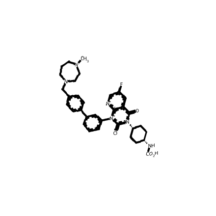 CN1CCCN(Cc2ccc(-c3cccc(-n4c(=O)n([C@H]5CC[C@@H](NC(=O)O)CC5)c(=O)c5cc(F)cnc54)c3)cc2)CC1